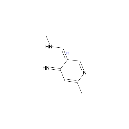 CN/C=C1/C=NC(C)=CC1=N